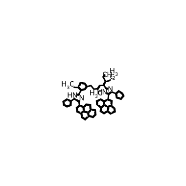 C=C/C(CC)=C(\C=C(/C)CCc1ccc(CC)c(-c2nc(-c3ccc4ccc5cccc6ccc3c4c56)c(-c3ccccc3)[nH]2)c1)c1nc(-c2ccccc2)c(-c2cc3cccc4ccc5cccc2c5c43)[nH]1